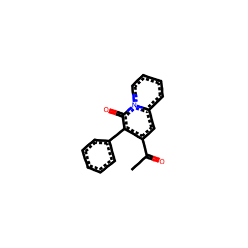 CC(=O)c1cc2ccccn2c(=O)c1-c1ccccc1